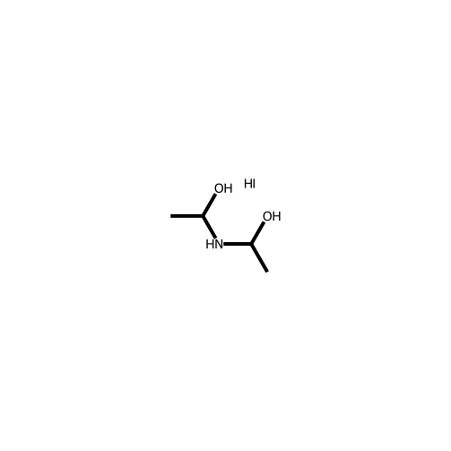 CC(O)NC(C)O.I